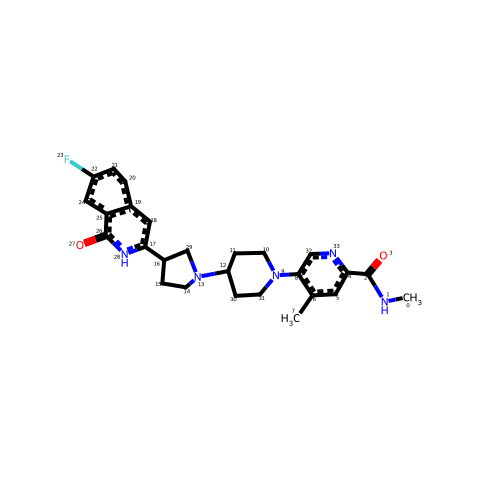 CNC(=O)c1cc(C)c(N2CCC(N3CCC(c4cc5ccc(F)cc5c(=O)[nH]4)C3)CC2)cn1